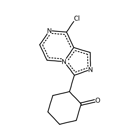 O=C1CCCCC1c1ncc2c(Cl)nccn12